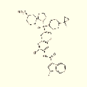 CCOC(=O)[C@H]1CC[C@H](OC(C(=O)Cc2cc(Cl)c(NC(=O)c3cn(C)c4ccccc34)cc2F)(N2CCCC2)N2CCN(C3(C)CC3)CC2)CC1